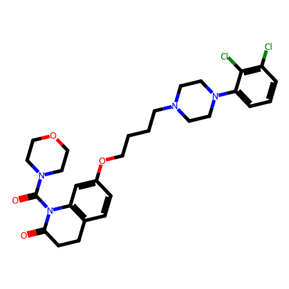 O=C1CCc2ccc(OCCCCN3CCN(c4cccc(Cl)c4Cl)CC3)cc2N1C(=O)N1CCOCC1